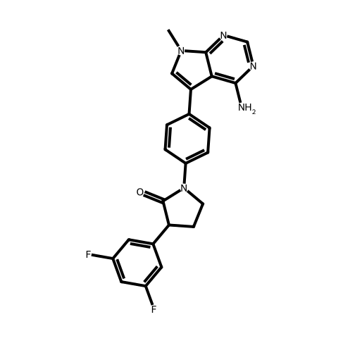 Cn1cc(-c2ccc(N3CCC(c4cc(F)cc(F)c4)C3=O)cc2)c2c(N)ncnc21